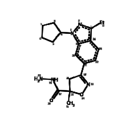 CCc1nn(C2CCCC2)c2cc(C3=NOC(C)(C(=O)NN)C3)ccc12